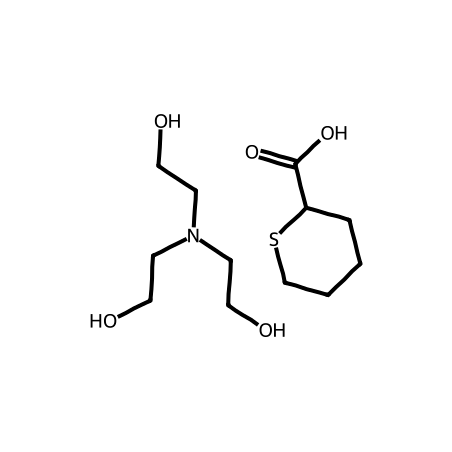 O=C(O)C1CCCCS1.OCCN(CCO)CCO